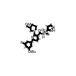 COCC1CCCN(c2nc(-c3cc(F)cc(OCC(C)C)c3)ccc2C(=O)NS(=O)(=O)c2ccn[nH]2)C1